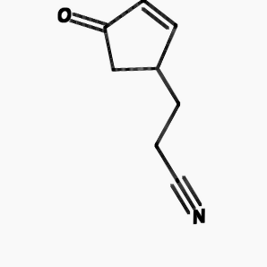 N#CCCC1C=CC(=O)C1